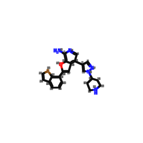 Nc1ncc(-c2cnn(C3CCNCC3)c2)c2cc(-c3cccc4ccsc34)oc12